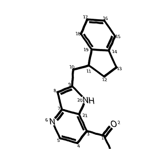 COC(=O)c1ccnc2cc(CC3CCc4ccccc43)[nH]c12